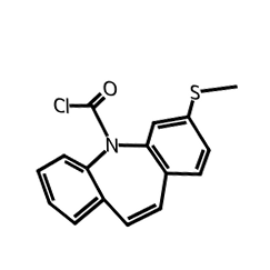 CSc1ccc2c(c1)N(C(=O)Cl)c1ccccc1C=C2